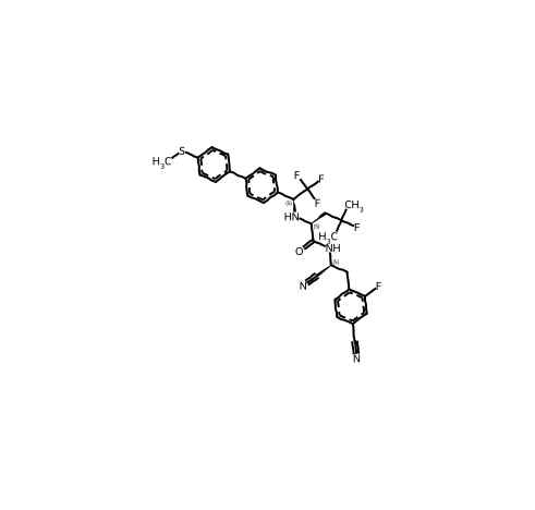 CSc1ccc(-c2ccc([C@H](N[C@@H](CC(C)(C)F)C(=O)N[C@H](C#N)Cc3ccc(C#N)cc3F)C(F)(F)F)cc2)cc1